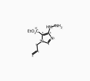 C=CCn1cnc(NN)c1C(=O)OCC